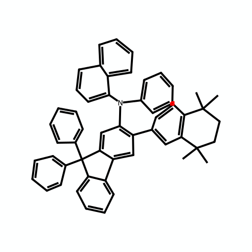 CC1(C)CCC(C)(C)c2cc(-c3cc4c(cc3N(c3ccccc3)c3cccc5ccccc35)C(c3ccccc3)(c3ccccc3)c3ccccc3-4)ccc21